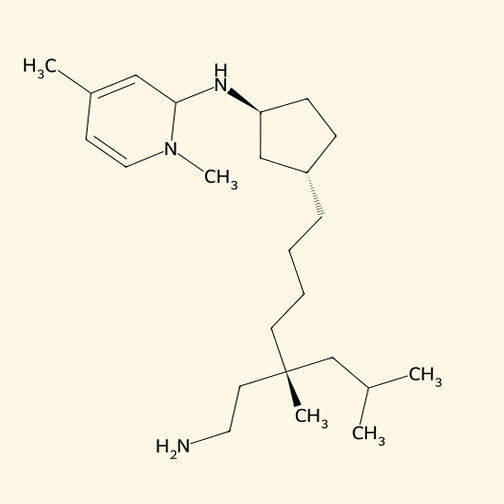 CC1=CC(N[C@H]2CC[C@H](CCCC[C@@](C)(CCN)CC(C)C)C2)N(C)C=C1